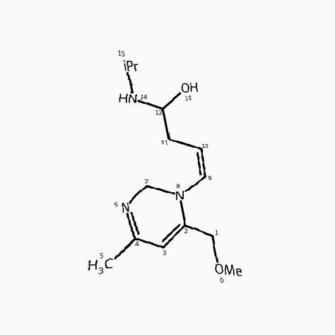 COCC1=CC(C)=NCN1/C=C\CC(O)NC(C)C